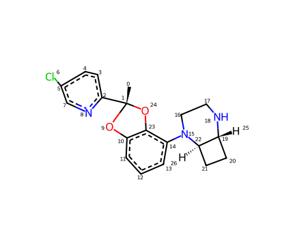 C[C@]1(c2ccc(Cl)cn2)Oc2cccc(N3CCN[C@@H]4CC[C@H]43)c2O1